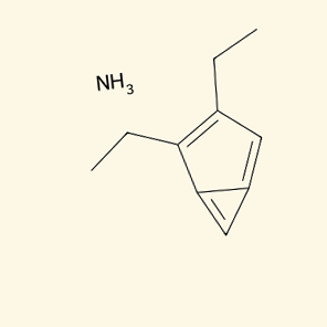 CCc1cc2cc-2c1CC.N